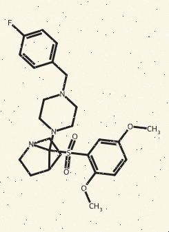 COc1ccc(OC)c(S(=O)(=O)C2(N3CCN(Cc4ccc(F)cc4)CC3)C3CCN2CC3)c1